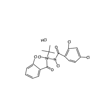 CC(C)(C)[N+](Cl)(C(=O)c1ccccc1Cl)N(Cl)C(=O)c1ccc(Cl)cc1Cl.Cl